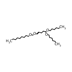 CCCCCCCCCOCOC=CCCC(OCCCCCC)OCCCCCC